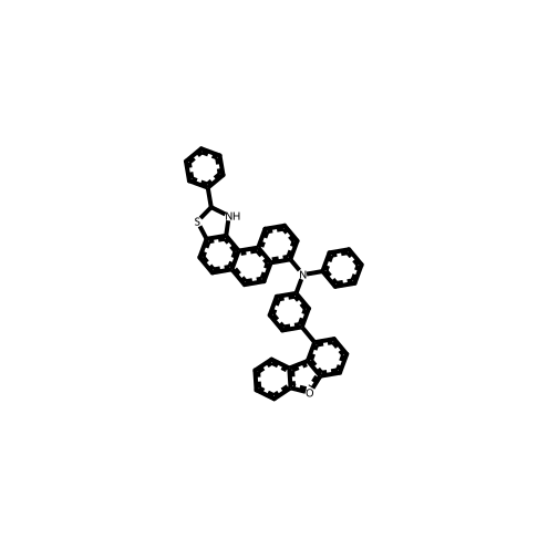 c1ccc(C2Nc3c(ccc4ccc5c(N(c6ccccc6)c6cccc(-c7cccc8oc9ccccc9c78)c6)cccc5c34)S2)cc1